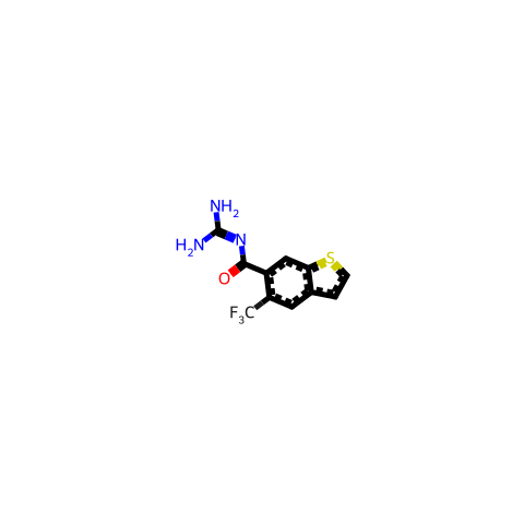 NC(N)=NC(=O)c1cc2sccc2cc1C(F)(F)F